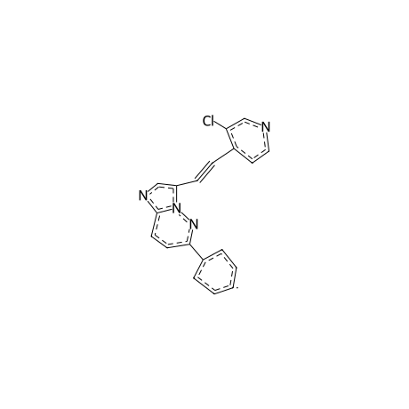 Clc1cnccc1C#Cc1cnc2ccc(-c3cc[c]cc3)nn12